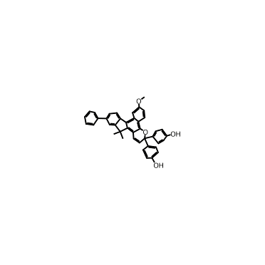 COc1ccc2c3c(c4c(c2c1)-c1ccc(-c2ccccc2)cc1C4(C)C)C=CC(c1ccc(O)cc1)(c1ccc(O)cc1)O3